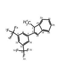 CC1C(c2cc(C(F)(F)F)cc(C(F)(F)F)c2)=Cc2ccccc21